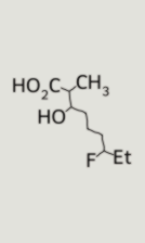 CCC(F)CCCC(O)C(C)C(=O)O